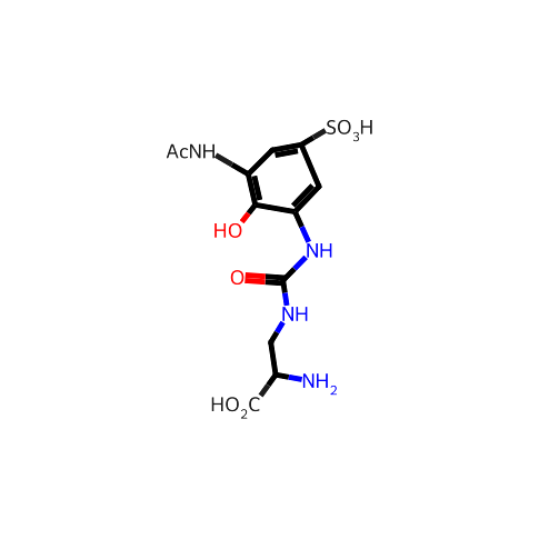 CC(=O)Nc1cc(S(=O)(=O)O)cc(NC(=O)NCC(N)C(=O)O)c1O